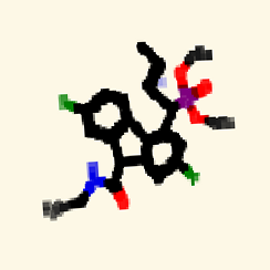 C/C=C/C(c1cc(F)cc2c1-c1ccc(F)cc1C2C(=O)NCC(F)(F)F)P(=O)(OCCCC)OCCCC